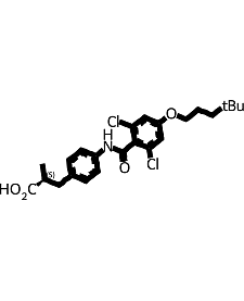 C[C@@H](Cc1ccc(NC(=O)c2c(Cl)cc(OCCCC(C)(C)C)cc2Cl)cc1)C(=O)O